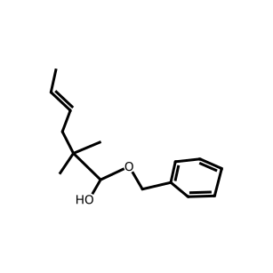 CC=CCC(C)(C)C(O)OCc1ccccc1